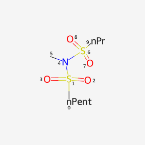 CCCCCS(=O)(=O)N(C)S(=O)(=O)CCC